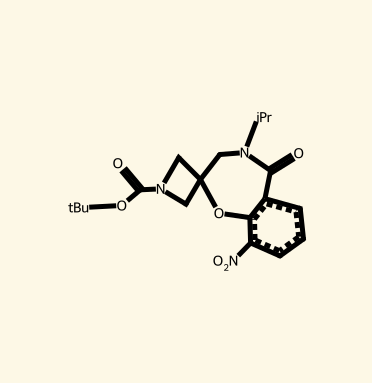 CC(C)N1CC2(CN(C(=O)OC(C)(C)C)C2)Oc2c(cccc2[N+](=O)[O-])C1=O